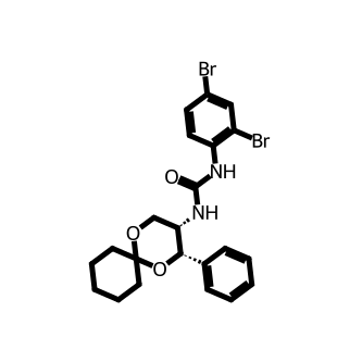 O=C(Nc1ccc(Br)cc1Br)N[C@H]1COC2(CCCCC2)O[C@H]1c1ccccc1